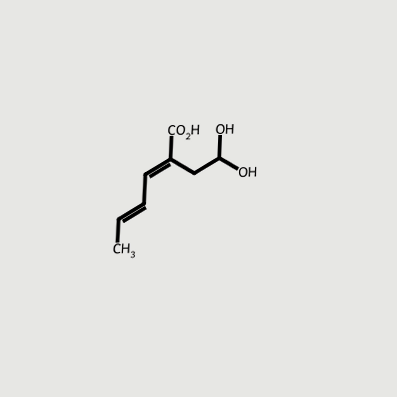 C/C=C/C=C(\CC(O)O)C(=O)O